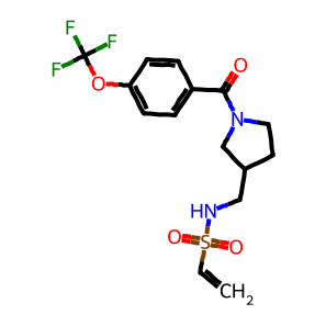 C=CS(=O)(=O)NCC1CCN(C(=O)c2ccc(OC(F)(F)F)cc2)C1